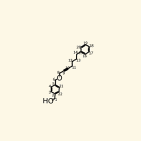 OCc1ccc(COCC#CCCCCc2ccccc2)cc1